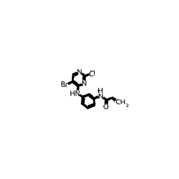 C=CC(=O)Nc1cccc(Nc2nc(Cl)ncc2Br)c1